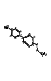 CCCc1ccc(-c2ccc(Br)cc2)cc1